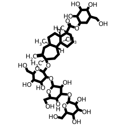 C=C1C[C@@]2(C)CC[C@H]3[C@@](C)(CCC[C@@]3(C)C(=O)OC3CC(CO)C(O)C(O)C3O)[C@@H]2CC[C@@]1(C)OC1OC(CO)C(O)C(O)C1OC1OC(CO)C(O)C(OC2OC(CO)C(O)C(O)C2O)C1O